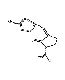 O=C(Cl)N1CCC(=Cc2ccc(Cl)cc2)C1=O